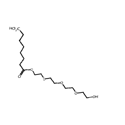 O=C(O)CCCCCCC(=O)OCCOCCOCCOCCO